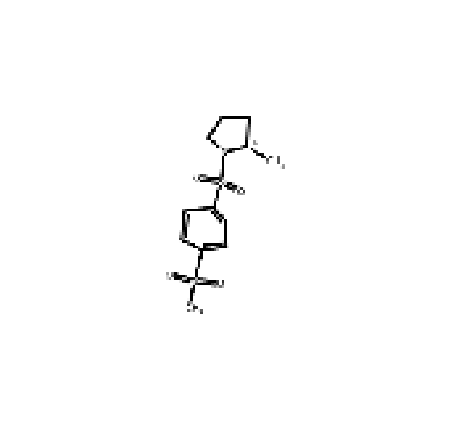 C[C@@H]1CCCN1S(=O)(=O)c1ccc(S(C)(=O)=O)cc1